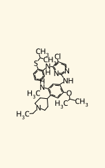 CCN1CCC(c2cc(OC(C)C)c(Nc3ncc(Cl)c(Nc4ccccc4SC(C)C)n3)cc2NC)CC1